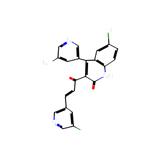 N#Cc1cncc(-c2c(C(=O)/C=C/c3cncc(F)c3)c(=O)[nH]c3ccc(Cl)cc23)c1